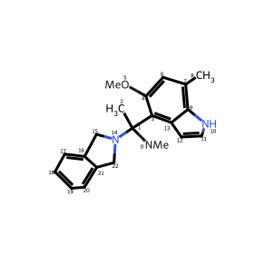 CNC(C)(c1c(OC)cc(C)c2[nH]ccc12)N1Cc2ccccc2C1